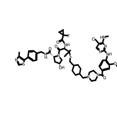 CNc1nc(Nc2ccc(C(=O)N3CCN(CC4CCC(CSC(C)(C)[C@H](NC(=O)C5(F)CC5)C(=O)N5C[C@H](O)C[C@@H]5C(=O)NCc5ccc(-c6scnc6C)cc5)CC4)CC3)cc2OC)ncc1Cl